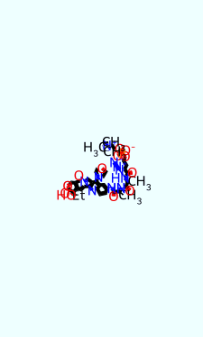 CC[C@@]1(O)C(=O)OCc2c1cc1n(c2=O)Cc2c-1nc1ccc(NC(=O)[C@H](C)NC(=O)[C@H](C)NC(=O)C(CCOP(=O)([O-])OCC[N+](C)(C)C)N=[N+]=[N-])cc1c2N1CCOCC1